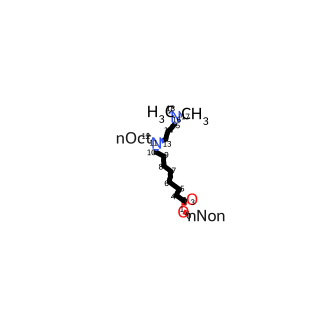 CCCCCCCCCOC(=O)CCCCCCCN(CCCCCCCC)CCCN(C)C